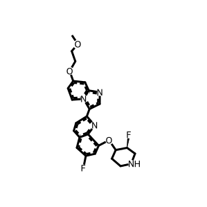 COCCOc1ccn2c(-c3ccc4cc(F)cc(OC5CCNC[C@@H]5F)c4n3)cnc2c1